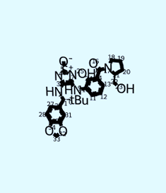 CC(C)(C)[C@@H](Nc1n[s+]([O-])nc1Nc1cccc(C(=O)N2CCC[C@H]2CO)c1O)c1ccc2c(c1)OCO2